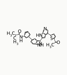 CC(=O)c1ccc(-c2cncc3[nH]c(-c4n[nH]c5ccc(-c6cc#cc(NC(=O)C(C)C)c6)cc45)cc23)s1